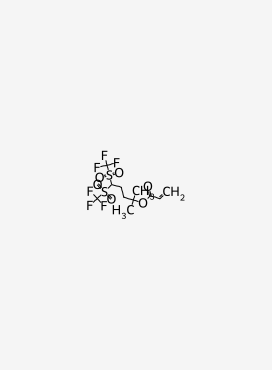 C=CC(=O)OC(C)(C)CCC(S(=O)(=O)C(F)(F)F)S(=O)(=O)C(F)(F)F